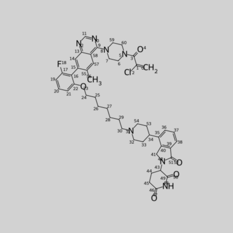 C=C(Cl)C(=O)N1CCN(c2ncnc3cc(-c4c(F)cccc4OCCCCCCCN4CCC(c5cccc6c5CN(C5CCC(=O)NC5=O)C6=O)CC4)c(C)cc23)CC1